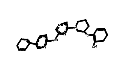 OC1=C(OC2CCCN(c3cncc(Nc4ccc(C5=CCCC=C5)cn4)n3)C2)C=CCC1